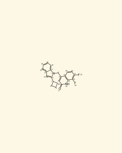 O=c1cc(Cn2c(C3CCC3)nc3ncccc32)c2ccc(F)c(F)c2[nH]1